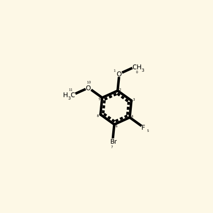 COc1cc(F)c(Br)cc1OC